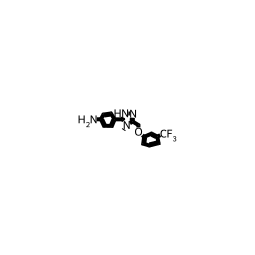 CN1C(COc2cccc(C(F)(F)F)c2)=NNC1c1ccc(N)cc1